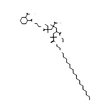 C=C(OCCOCCCCCCCCCCCCCCCCCC)C(C)(C)CC(CC(C)(CC(C)(CC)C(=O)OCCOC(=O)C1CCCCC1C(=O)O)C(=O)O)C(=O)OCC